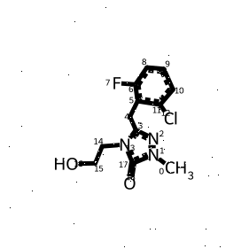 Cn1nc(Cc2c(F)cccc2Cl)n(CCO)c1=O